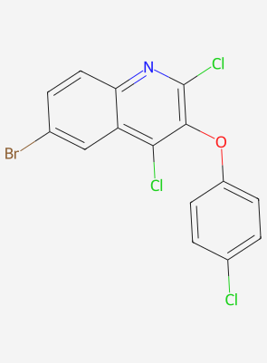 Clc1ccc(Oc2c(Cl)nc3ccc(Br)cc3c2Cl)cc1